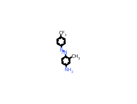 Cc1cc(N)ccc1/N=N/c1ccc(C(F)(F)F)cc1